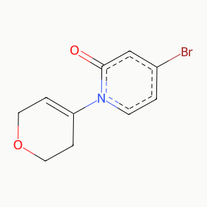 O=c1cc(Br)ccn1C1=CCOCC1